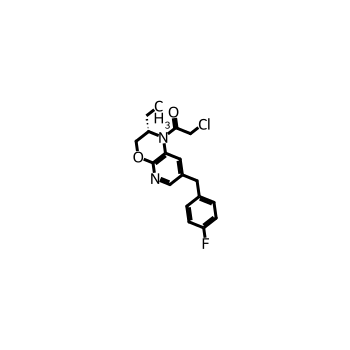 CC[C@H]1COc2ncc(Cc3ccc(F)cc3)cc2N1C(=O)CCl